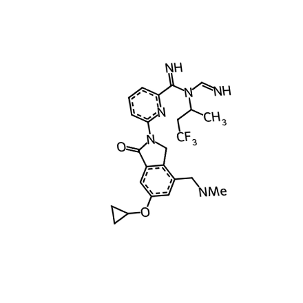 CNCc1cc(OC2CC2)cc2c1CN(c1cccc(C(=N)N(C=N)C(C)CC(F)(F)F)n1)C2=O